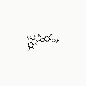 CCn1c(C(=O)NC(c2ccc(F)c(F)c2)C(F)(F)F)cc2cc(C(=O)O)c(Cl)cc21